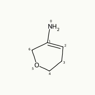 NC1=CCCOC1